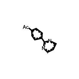 CC(=O)c1ccc(-c2n[c]ccn2)cc1